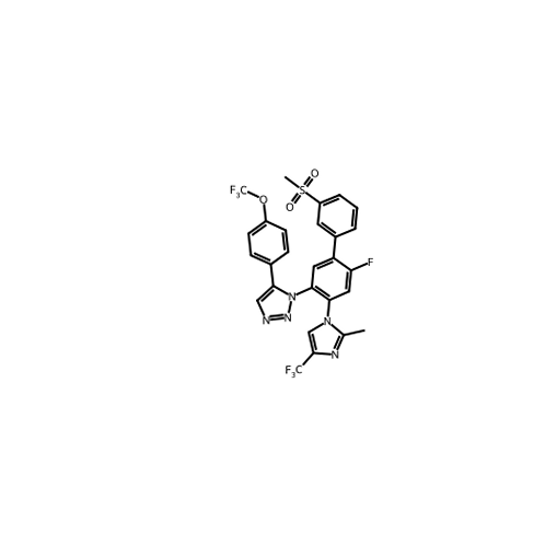 Cc1nc(C(F)(F)F)cn1-c1cc(F)c(-c2cccc(S(C)(=O)=O)c2)cc1-n1nncc1-c1ccc(OC(F)(F)F)cc1